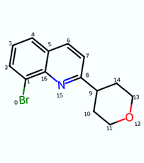 Brc1cccc2ccc(C3CCOCC3)nc12